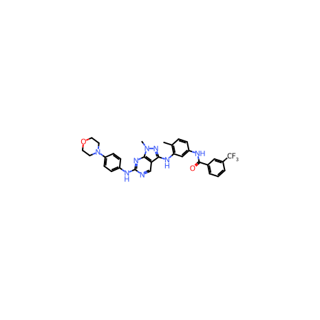 Cc1ccc(NC(=O)c2cccc(C(F)(F)F)c2)cc1Nc1nn(C)c2nc(Nc3ccc(N4CCOCC4)cc3)ncc12